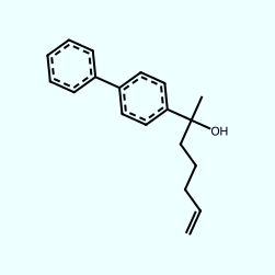 C=CCCCC(C)(O)c1ccc(-c2ccccc2)cc1